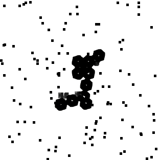 CC1C=C(C2=C3C=CC=CC3CC(c3ccc(C4C=CC5=C(C4)C4(c6ccccc6-c6ccccc64)c4ccc6c(oc7ccccc76)c45)cc3)N2)C=CC1c1ccccc1